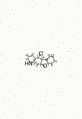 Clc1c2c(cc3oc4ccccc4c13)NCC=C2